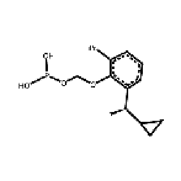 CC(C)c1cccc([C@H](C)C2CC2)c1OCOP(O)O